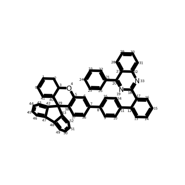 C1=CCC2Oc3cc(-c4ccc(-c5ccccc5-c5nc(-c6ccccc6)c6ccccc6n5)cc4)ccc3C3(C2=C1)c1ccccc1-c1ccccc13